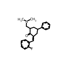 CN(C)CC1CC(c2ccccc2)CC(=Cc2ccccc2F)C1=O